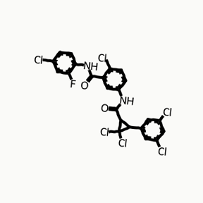 O=C(Nc1ccc(Cl)cc1F)c1cc(NC(=O)C2C(c3cc(Cl)cc(Cl)c3)C2(Cl)Cl)ccc1Cl